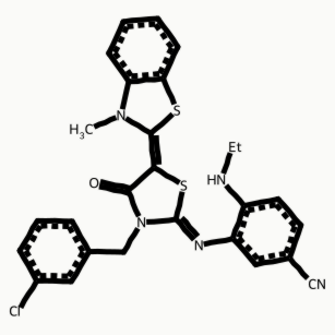 CCNc1ccc(C#N)cc1/N=C1\S/C(=C2\Sc3ccccc3N2C)C(=O)N1Cc1cccc(Cl)c1